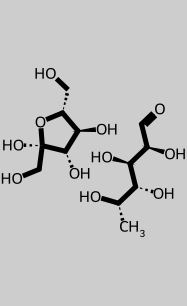 C[C@H](O)[C@@H](O)[C@@H](O)[C@H](O)C=O.OC[C@H]1O[C@](O)(CO)[C@@H](O)[C@@H]1O